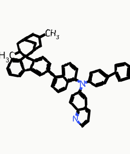 CC1CC2CC(C)C3(c4ccccc4-c4cc(-c5cccc6c(N(c7ccc(-c8ccccc8)cc7)c7ccc8ncccc8c7)cccc56)ccc43)C(C1)C2